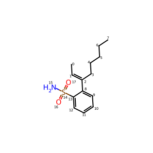 CC=C(CCCCC)c1ccccc1S(N)(=O)=O